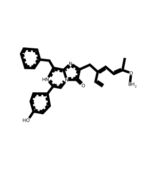 BO/C(C)=C/C=C(\C=C)Cc1nc2c(Cc3ccccc3)[nH]c(-c3ccc(O)cc3)cn-2c1=O